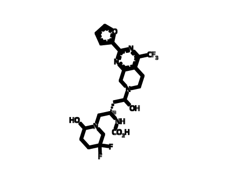 O=C(O)N[C@@H](CC(O)N1CCc2c(nc(-c3ccco3)nc2C(F)(F)F)C1)CN1CC(F)(F)CCC1O